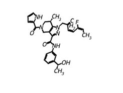 C=C(/C=C\C(F)=C/C)Cn1nc(C(=O)Nc2cccc([C@H](C)O)c2)c2c1[C@H](C)CN(C(=O)c1ccc[nH]1)C2